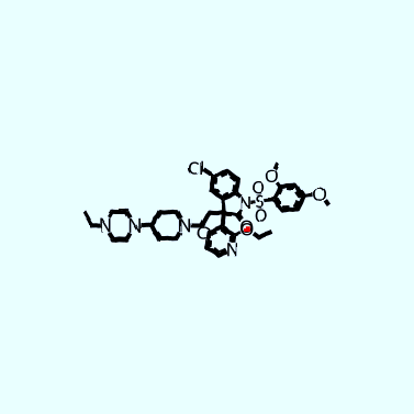 CCOc1ncccc1C1(CC(=O)N2CCC(N3CCN(CC)CC3)CC2)C(=O)N(S(=O)(=O)c2ccc(OC)cc2OC)c2ccc(Cl)cc21